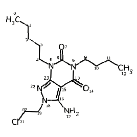 CCCCCn1c(=O)n(CCCC)c(=O)c2c(N)n(CCCl)nc21